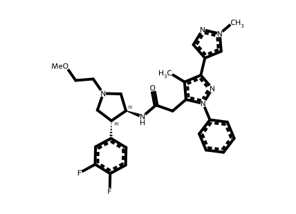 COCCN1C[C@@H](NC(=O)Cc2c(C)c(-c3cnn(C)c3)nn2-c2ccccc2)[C@H](c2ccc(F)c(F)c2)C1